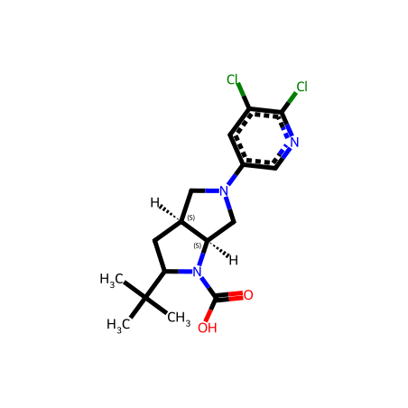 CC(C)(C)C1C[C@H]2CN(c3cnc(Cl)c(Cl)c3)C[C@H]2N1C(=O)O